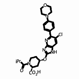 CC(C)C(=O)N1CC[C@@H](Oc2nc3nc(-c4ccc(N5CCOCC5)cc4)c(Cl)cc3[nH]2)C[C@H]1C(=O)O